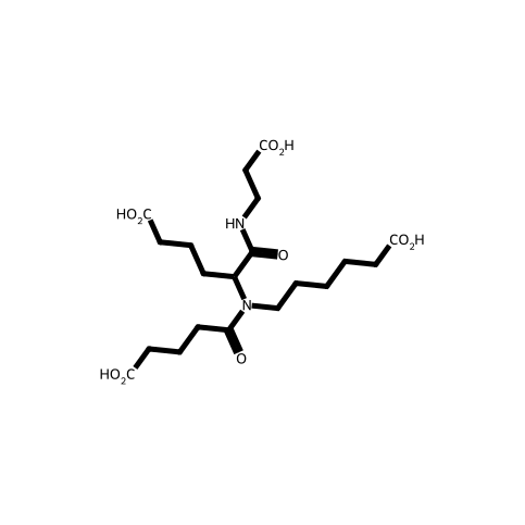 O=C(O)CCCCCN(C(=O)CCCC(=O)O)C(CCCC(=O)O)C(=O)NCCC(=O)O